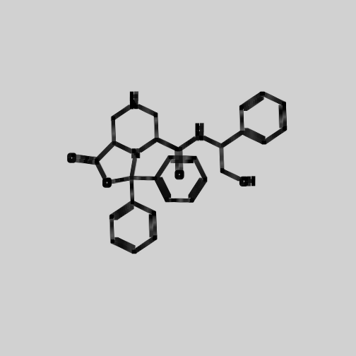 O=C(NC(CO)c1ccccc1)C1CNCC2C(=O)OC(c3ccccc3)(c3ccccc3)N12